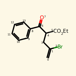 C=C(Br)CC(C(=O)OCC)C(=O)c1ccccc1